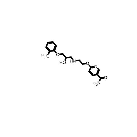 Cc1ccccc1OCC(O)CNCCOc1ccc(C(N)=O)cn1